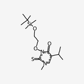 CC(C)c1cn(C)c(=S)n(OCCO[Si](C)(C)C(C)(C)C)c1=O